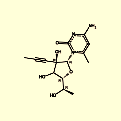 CC#C[C@@]1(O)C(O)[C@@H]([C@@H](C)O)O[C@H]1n1c(C)cc(N)nc1=O